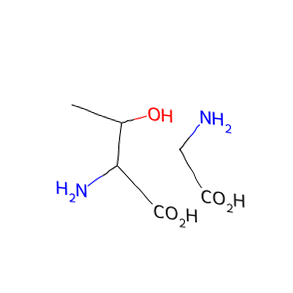 CC(O)C(N)C(=O)O.NCC(=O)O